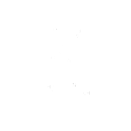 CC[N+](CC)(CCOC(=O)C1(Cc2ccccc2)c2ccccc2Oc2ccccc21)Cc1ccccc1